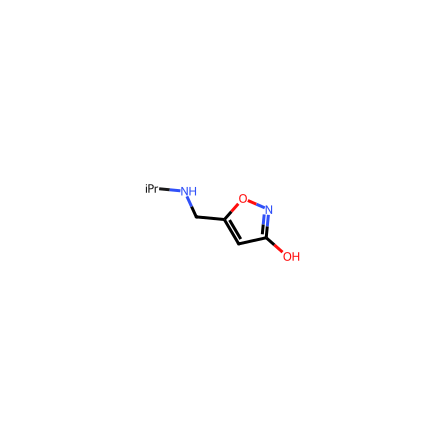 CC(C)NCc1cc(O)no1